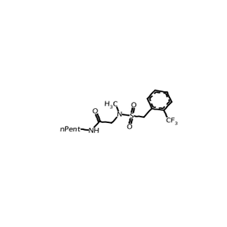 CCCCCNC(=O)CN(C)S(=O)(=O)Cc1ccccc1C(F)(F)F